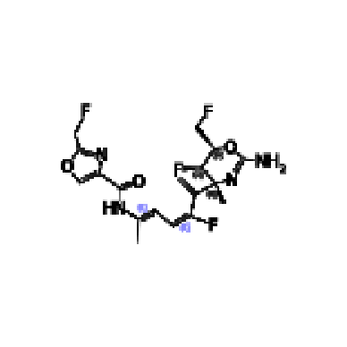 C=C(/C(F)=C\C=C(/C)NC(=O)c1coc(CF)n1)[C@@]1(C)N=C(N)O[C@H](CF)[C@@H]1F